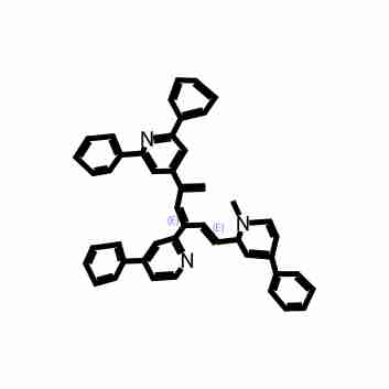 C=C(/C=C(\C=C\C1C=C(c2ccccc2)C=CN1C)c1cc(-c2ccccc2)ccn1)c1cc(-c2ccccc2)nc(-c2ccccc2)c1